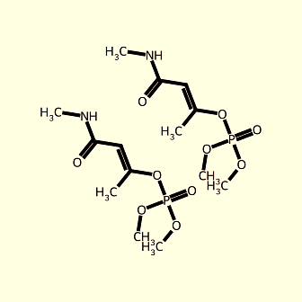 CNC(=O)/C=C(\C)OP(=O)(OC)OC.CNC(=O)/C=C(\C)OP(=O)(OC)OC